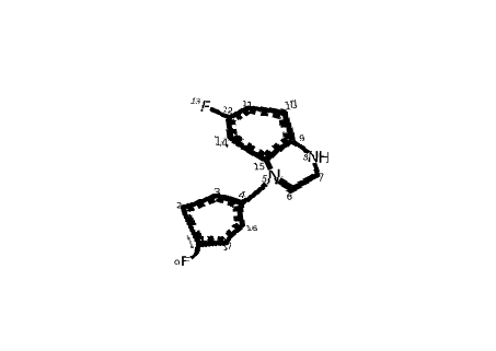 Fc1ccc(N2CCNc3ccc(F)cc32)cc1